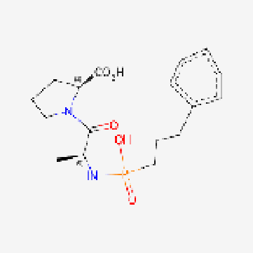 C[C@H](NP(=O)(O)CCCc1ccccc1)C(=O)N1CCC[C@H]1C(=O)O